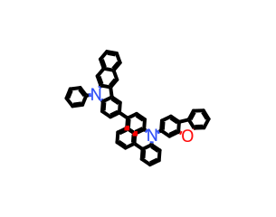 c1ccc(-c2ccccc2N(c2ccc(-c3ccc4c(c3)c3cc5ccccc5cc3n4-c3ccccc3)cc2)c2ccc3c(c2)oc2ccccc23)cc1